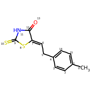 Cc1ccc(CC=C2SC(=S)NC2=O)cc1